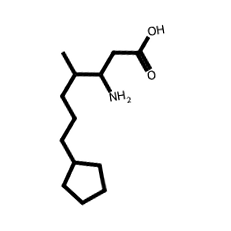 CC(CCCC1CCCC1)C(N)CC(=O)O